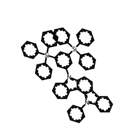 c1ccc(-n2c3ccccc3c3ccc4c(c5ccccc5n4-c4cc([Si](c5ccccc5)(c5ccccc5)c5ccccc5)cc([Si](c5ccccc5)(c5ccccc5)c5ccccc5)c4)c32)cc1